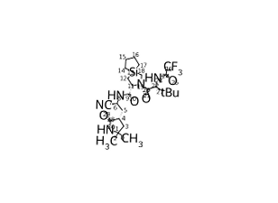 CC1(C)C[C@@H](C[C@@H](C#N)NC(=O)[C@@H]2C[Si]3(CCCC3)CN2C(=O)[C@@H](NC(=O)C(F)(F)F)C(C)(C)C)C(=O)N1